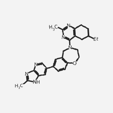 CCC1CCc2nc(C)nc(N3CCOc4ccc(-c5cnc6nc(C)[nH]c6c5)cc4C3)c2C1